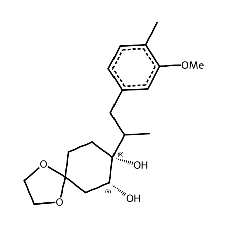 COc1cc(CC(C)[C@]2(O)CCC3(C[C@H]2O)OCCO3)ccc1C